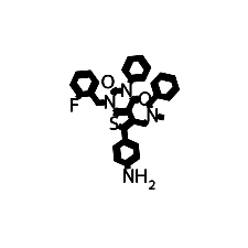 CN(Cc1ccccc1)Cc1c(-c2ccc(N)cc2)sc2c1c(=O)n(-c1ccccc1)c(=O)n2Cc1ccccc1F